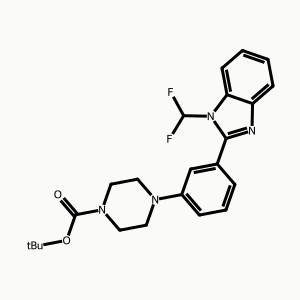 CC(C)(C)OC(=O)N1CCN(c2cccc(-c3nc4ccccc4n3C(F)F)c2)CC1